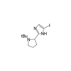 CC(C)(C)N1CCCC1c1ncc(I)[nH]1